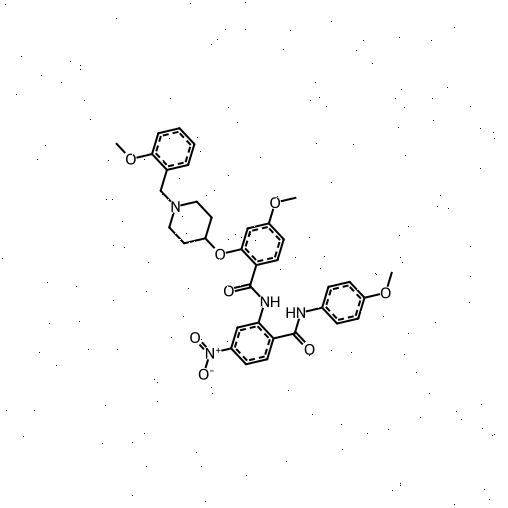 COc1ccc(NC(=O)c2ccc([N+](=O)[O-])cc2NC(=O)c2ccc(OC)cc2OC2CCN(Cc3ccccc3OC)CC2)cc1